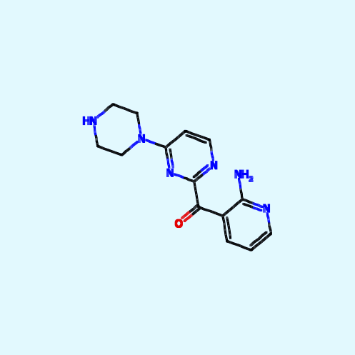 Nc1ncccc1C(=O)c1nccc(N2CCNCC2)n1